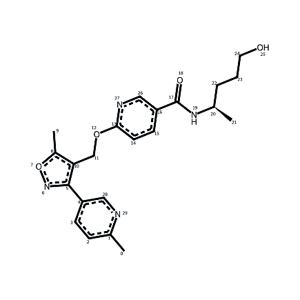 Cc1ccc(-c2noc(C)c2COc2ccc(C(=O)N[C@H](C)CCCO)cn2)cn1